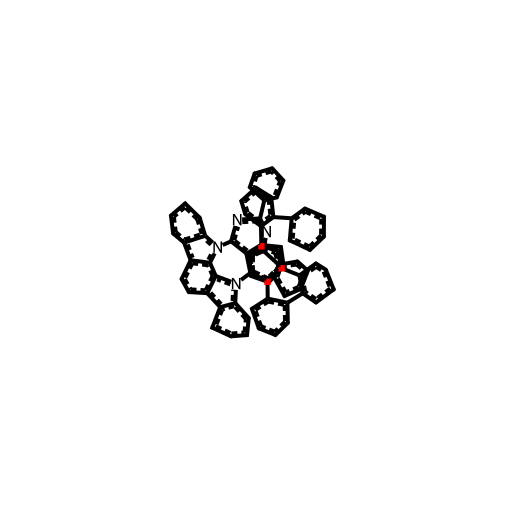 c1ccc(-c2nc(-c3ccccc3)nc(-n3c4ccccc4c4ccc5c6ccccc6n(-c6cc(-c7ccccc7-c7ccccc7)cc(-c7ccccc7-c7ccccc7-c7ccccc7)c6)c5c43)n2)cc1